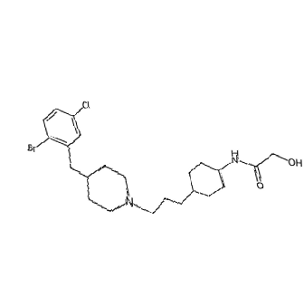 O=C(CO)NC1CCC(CCCN2CCC(Cc3cc(Cl)ccc3Br)CC2)CC1